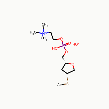 CC(=O)S[C@H]1CO[C@@H](COP(=O)(O)OCC[N+](C)(C)C)C1.[OH-]